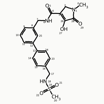 CN1CC(C(=O)NCc2cccc(-c3ccc(CNS(C)(=O)=O)cc3)c2)=C(O)C1=O